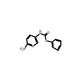 O=C(Nc1ccc([N+](=O)[O-])nc1)Oc1ccccc1